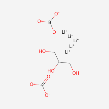 O=C([O-])[O-].OCC(O)CO.[Li+].[Li+].[Li+].[Li+].[Li+].[O-]B([O-])[O-]